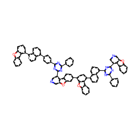 c1ccc(-c2nc(-c3ccc(-c4cccc5c(-c6cccc7oc8ccccc8c67)cccc45)cc3)nc(-c3cncc4oc5cc(-c6ccc(-c7cccc8c(-c9nc(-c%10ccccc%10)nc(-c%10cncc%11oc%12ccccc%12c%10%11)n9)cccc78)c7c6oc6ccccc67)ccc5c34)n2)cc1